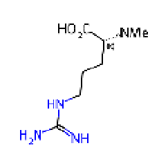 CN[C@H](CCCNC(=N)N)C(=O)O